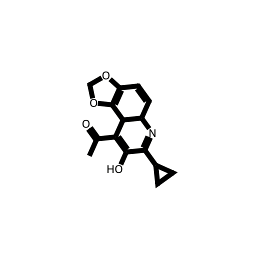 CC(=O)C1=C(O)C(C2CC2)=NC2C=CC3=C(OCO3)C12